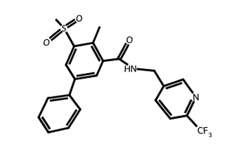 Cc1c(C(=O)NCc2ccc(C(F)(F)F)nc2)cc(-c2ccccc2)cc1S(C)(=O)=O